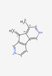 C=C1c2cnccc2-c2cncc(C)c21